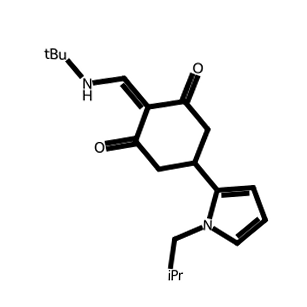 CC(C)Cn1cccc1C1CC(=O)C(=CNC(C)(C)C)C(=O)C1